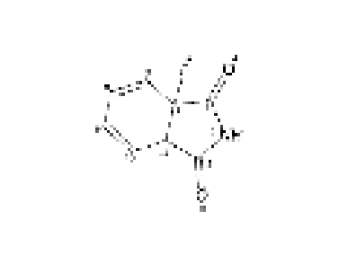 O=C1NC(=O)C2(F)C=CC=CC12